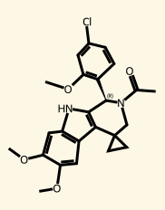 COc1cc2[nH]c3c(c2cc1OC)C1(CC1)CN(C(C)=O)[C@@H]3c1ccc(Cl)cc1OC